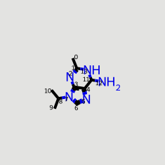 CC1=Nc2c(ncn2C(C)C)C(N)N1